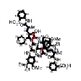 CCN(CC)c1cc(Nc2nc(Nc3cc(N(CC)CC)c(OC)cc3/N=N/c3nc(N4CCOCC4)c(/C=C(\C(C)=O)C(=O)Nc4ccccc4S(=O)(=O)O)s3)nc(SCCO)n2)c(/N=N/c2nc(N3CCOCC3)c(/C=C(/C(C)=O)C(=O)Nc3ccccc3S(=O)(=O)O)s2)cc1OC